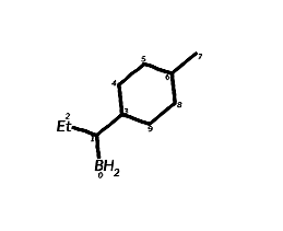 BC(CC)C1CCC(C)CC1